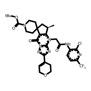 C[C@@H]1CC2(CCN(C(=O)OC(C)(C)C)CC2)c2c1n(CC(=O)Nc1ccc(C(F)(F)F)nc1Cl)c1nc(C3=CCOCC3)nn1c2=O